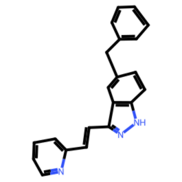 C(=C\c1n[nH]c2ccc(Cc3ccccc3)cc12)/c1ccccn1